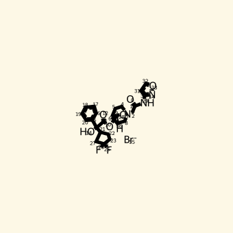 O=C(C[N+]12CCC(CC1)[C@@H](OC(=O)C(O)(c1ccccc1)C1CCC(F)(F)C1)C2)Nc1ccon1.[Br-]